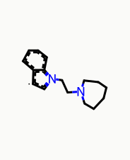 [c]1cn(CCN2CCCCCC2)c2ccccc12